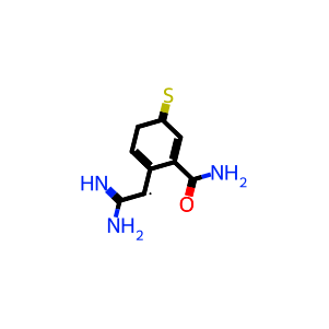 N=C(N)[CH]C1=CCC(=S)C=C1C(N)=O